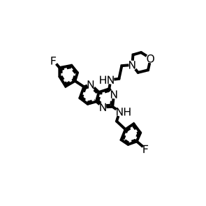 Fc1ccc(CNc2nc(NCCN3CCOCC3)c3nc(-c4ccc(F)cc4)ccc3n2)cc1